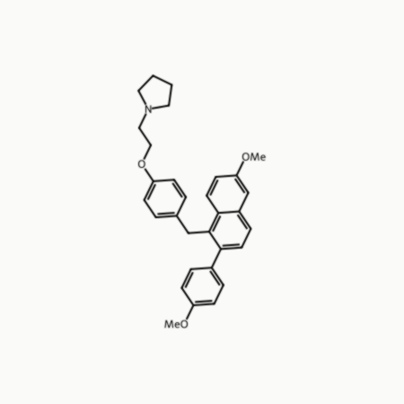 COc1ccc(-c2ccc3cc(OC)ccc3c2Cc2ccc(OCCN3CCCC3)cc2)cc1